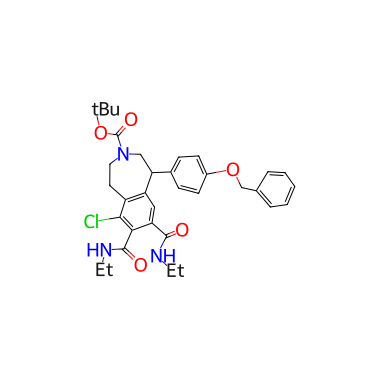 CCNC(=O)c1cc2c(c(Cl)c1C(=O)NCC)CCN(C(=O)OC(C)(C)C)CC2c1ccc(OCc2ccccc2)cc1